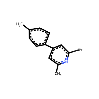 Cc1ccc(-c2cc(C)nc(C(C)C)c2)cc1